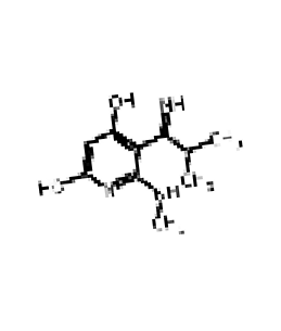 CNc1nc(O)cc(O)c1C(=N)C(C)C